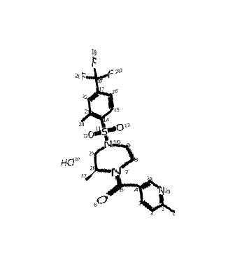 Cc1ccc(C(=O)N2CCN(S(=O)(=O)c3ccc(C(F)(F)F)cc3C)C[C@@H]2C)cn1.Cl